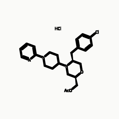 CC(=O)OC[C@H]1CN(C2CCN(c3ccccn3)CC2)[C@@H](Cc2ccc(Cl)cc2)CO1.Cl